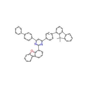 CC1(C)c2ccccc2-c2cccc(-c3ccc(-c4cc(-c5ccc(-c6ccccc6)cc5)nc(-c5cccc6c5oc5ccccc56)n4)cc3)c21